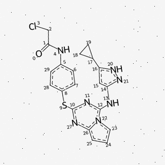 O=C(CCl)Nc1ccc(Sc2nc(Nc3cc(C4CC4)[nH]n3)n3cccc3n2)cc1